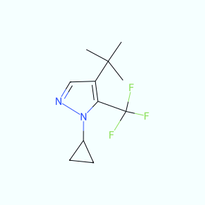 CC(C)(C)c1cnn(C2CC2)c1C(F)(F)F